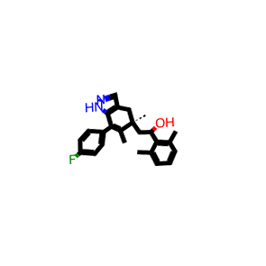 CC1=C(c2ccc(F)cc2)c2[nH]ncc2C[C@@]1(C)CC(O)c1c(C)cccc1C